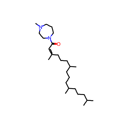 CC(=CC(=O)N1CCCN(C)CC1)CCCC(C)CCCC(C)CCCC(C)C